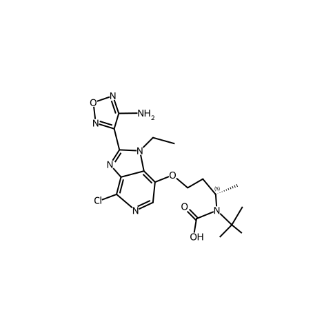 CCn1c(-c2nonc2N)nc2c(Cl)ncc(OCC[C@H](C)N(C(=O)O)C(C)(C)C)c21